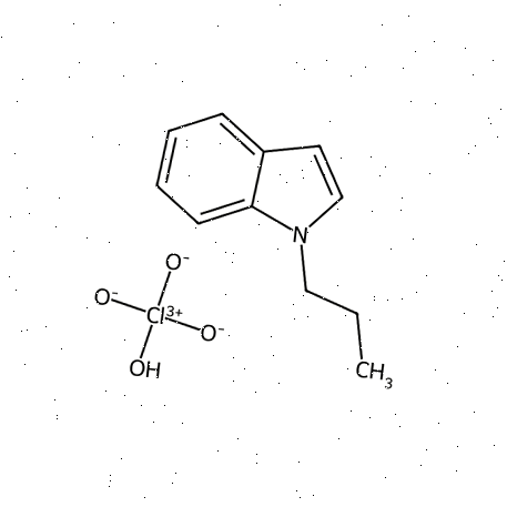 CCCn1ccc2ccccc21.[O-][Cl+3]([O-])([O-])O